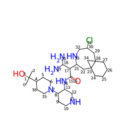 CC(C)(O)C1CCN(C2CCNCC2NC(=O)C(C(N)N)C2CC34CCCCC3(CC(Cl)CN2)C4)CC1